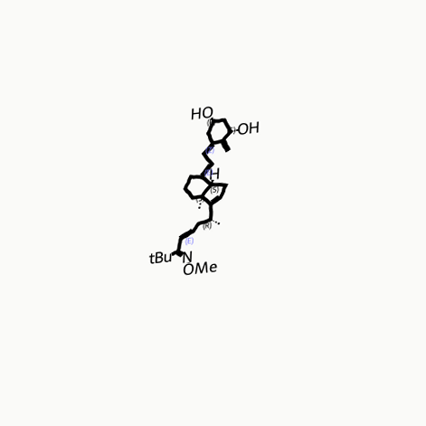 C=C1/C(=C\C=C2/CCC[C@]3(C)C([C@H](C)C/C=C/C(=NOC)C(C)(C)C)=CC[C@@H]23)C[C@@H](O)C[C@@H]1O